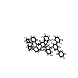 B1c2cccc3c2N(c2ccccc2C32c3ccccc3-c3ccccc32)c2cc3c(oc4ccccc43)c(-c3ccccc3Nc3cc(-c4ccccc4)cc(-c4ccccc4)c3)c21